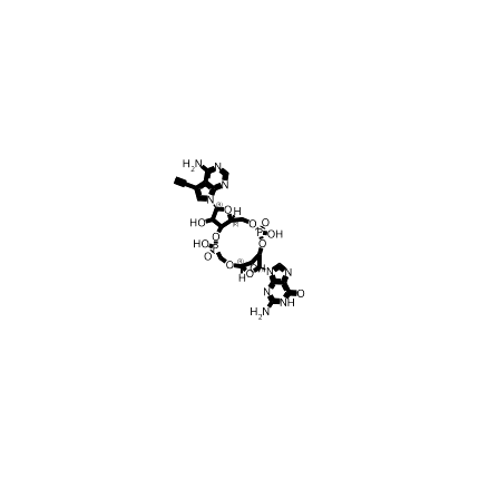 C#Cc1cn([C@@H]2O[C@@H]3COP(=O)(O)OC4C(O)[C@@H](OCP(=O)(O)OC3C2O)O[C@H]4n2cnc3c(=O)[nH]c(N)nc32)c2ncnc(N)c12